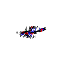 COC(=O)NC(C(=O)NC(Cc1ccc(C#Cc2ccc(N3CC4CCC(C3)N4C3COC3)nc2)cc1)C(O)CN(Cc1c(F)cc(-c2nnc(C)o2)cc1F)NC(=O)C(NC(=O)O)C(C)(C)C(F)(F)F)C(C)(C)C(F)(F)F